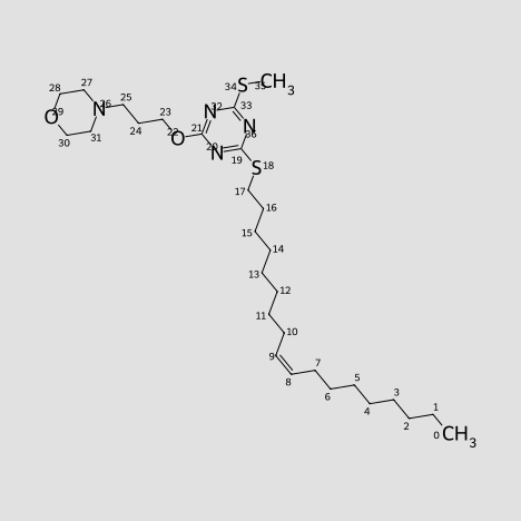 CCCCCCCC/C=C\CCCCCCCCSc1nc(OCCCN2CCOCC2)nc(SC)n1